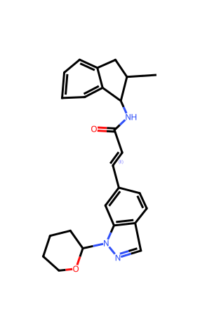 CC1Cc2ccccc2C1NC(=O)/C=C/c1ccc2cnn(C3CCCCO3)c2c1